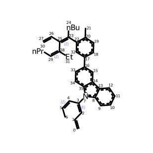 C=C/C=C(\C=C/C)n1c2ccccc2c2cc(-c3ccc(C)c(/C(CCCC)=C(C=C)\C(=C/CCC)CC)c3)ccc21